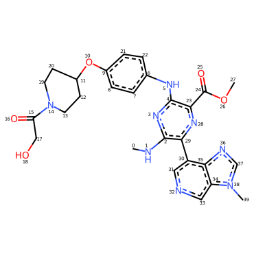 CNc1nc(Nc2ccc(OC3CCN(C(=O)CO)CC3)cc2)c(C(=O)OC)nc1-c1cncc2c1ncn2C